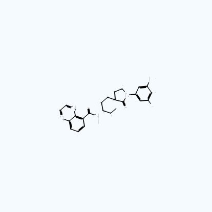 O=C(N[C@H]1CC[C@@]2(CCN(c3cc(F)cc(F)c3)C2=O)CC1)c1cccc2nccnc12